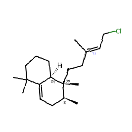 C/C(=C\CCl)CC[C@@]1(C)[C@@H]2CCCC(C)(C)C2=CC[C@@H]1C